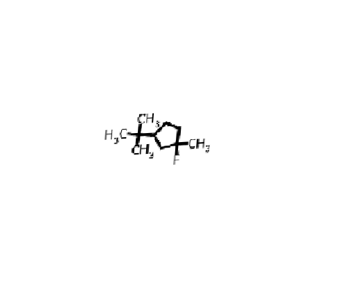 CC1(F)CCC(C(C)(C)C)C1